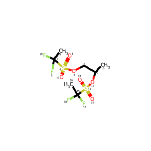 CC(COS(=O)(=O)C(C)(F)F)OS(=O)(=O)C(C)(F)F